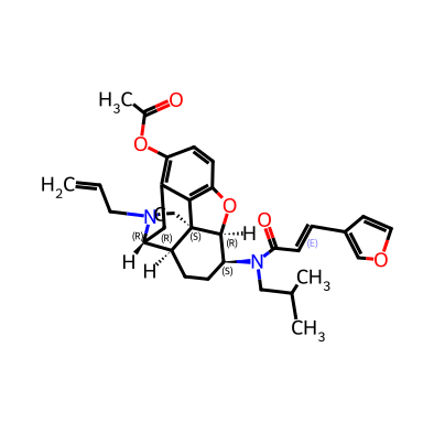 C=CCN1CC[C@@]23c4c5ccc(OC(C)=O)c4C[C@@H]1[C@@H]2CC[C@H](N(CC(C)C)C(=O)/C=C/c1ccoc1)[C@@H]3O5